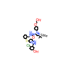 CSC(C)(C)c1cc(NC(=O)NCc2ccccc2Sc2ccc3nnc(-c4cc(O)ccc4Cl)n3c2)n(-c2ccc(OCCO)cc2)n1